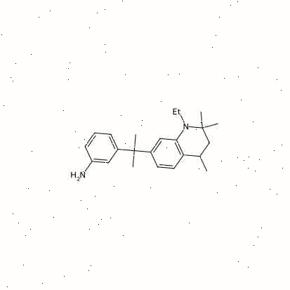 CCN1c2cc(C(C)(C)c3cccc(N)c3)ccc2C(C)CC1(C)C